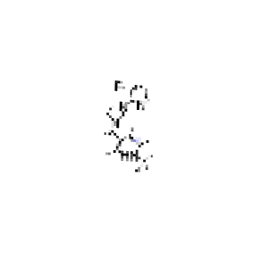 C=C(C(=C(C)C)/C(C)=C(/C)NC1(C)CC1)N1CCN(c2ncccc2F)C1